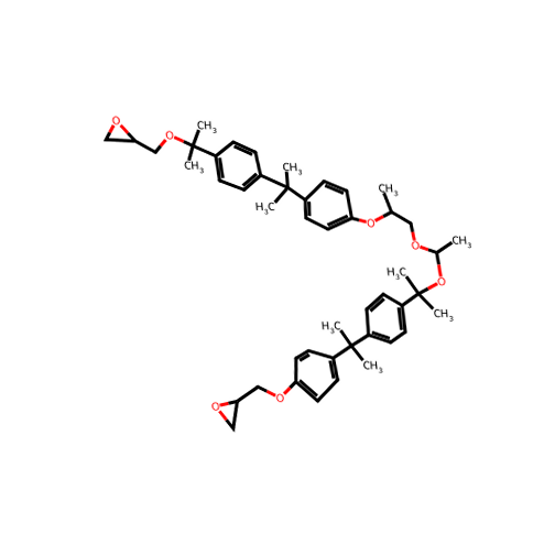 CC(COC(C)OC(C)(C)c1ccc(C(C)(C)c2ccc(OCC3CO3)cc2)cc1)Oc1ccc(C(C)(C)c2ccc(C(C)(C)OCC3CO3)cc2)cc1